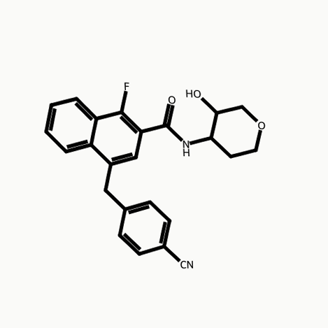 N#Cc1ccc(Cc2cc(C(=O)NC3CCOCC3O)c(F)c3ccccc23)cc1